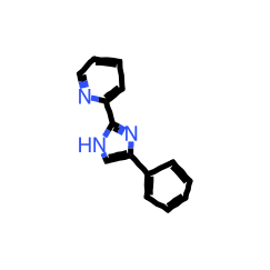 c1ccc(-c2c[nH]c(-c3ccccn3)n2)cc1